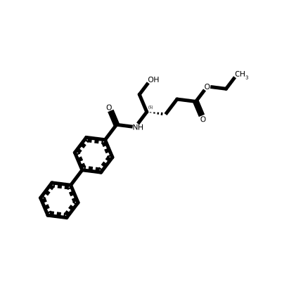 CCOC(=O)CC[C@@H](CO)NC(=O)c1ccc(-c2ccccc2)cc1